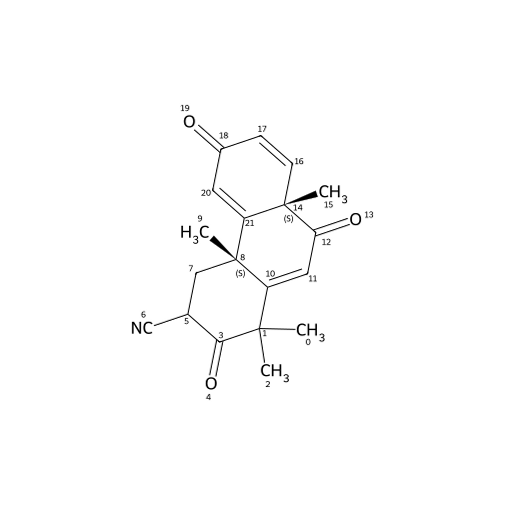 CC1(C)C(=O)C(C#N)C[C@@]2(C)C1=CC(=O)[C@@]1(C)C=CC(=O)C=C12